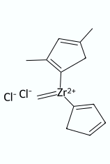 [CH2]=[Zr+2]([C]1=CC=CC1)[C]1=C(C)C=C(C)C1.[Cl-].[Cl-]